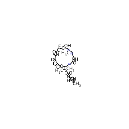 CC1=C\C(O)CC(F)Cc2nc(co2)C(=O)N2CCCC2C(=O)OC(C(C)COC(=O)Nc2cnn(C)c2)C(C)/C=C/C(=O)NC\C=C\1